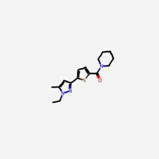 CCn1nc(-c2ccc(C(=O)N3CCCCC3)s2)cc1C